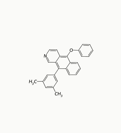 Cc1cc(C)cc(-c2c3ccccc3c(Oc3ccccc3)c3ccncc23)c1